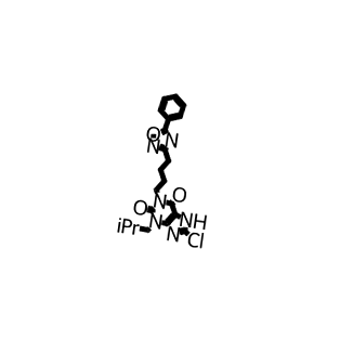 CC(C)Cn1c(=O)n(CCCCc2noc(-c3ccccc3)n2)c(=O)c2[nH]c(Cl)nc21